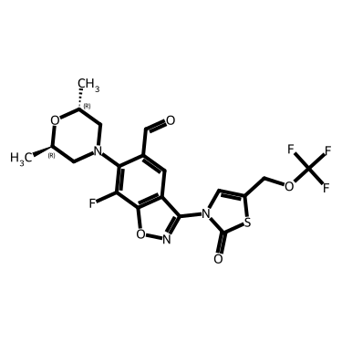 C[C@@H]1CN(c2c(C=O)cc3c(-n4cc(COC(F)(F)F)sc4=O)noc3c2F)C[C@@H](C)O1